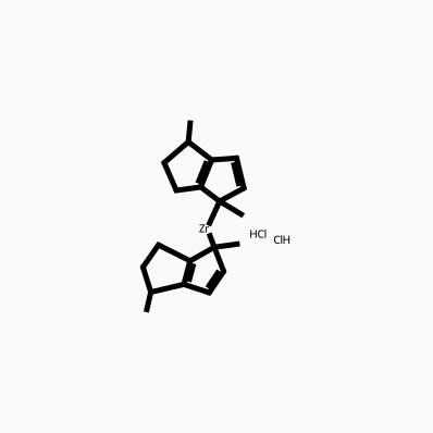 CC1CCC2=C1C=C[C]2(C)[Zr][C]1(C)C=CC2=C1CCC2C.Cl.Cl